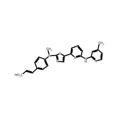 Cc1ccnc(Nc2cccc(-c3cnc(N(C)c4ccc(/C=C/C(=O)O)cc4)s3)n2)c1